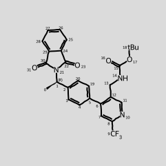 C[C@H](c1ccc(-c2cc(C(F)(F)F)ncc2CNC(=O)OC(C)(C)C)cc1)N1C(=O)c2ccccc2C1=O